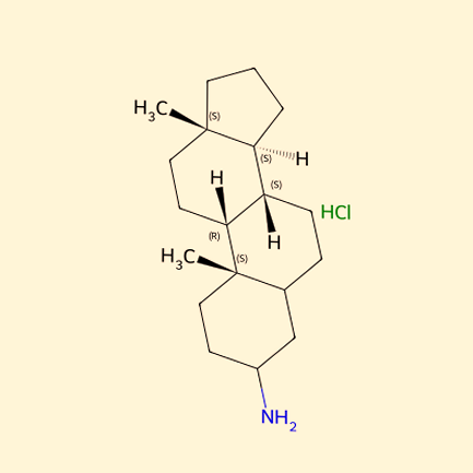 C[C@@]12CCC[C@H]1[C@@H]1CCC3CC(N)CC[C@]3(C)[C@@H]1CC2.Cl